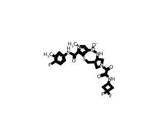 Cc1cc(NC(=O)c2c3c(cn2C)[S+]([O-])NC2CN(C(=O)C(=O)NC4CC(F)(F)C4)CC2CS3)ccc1F